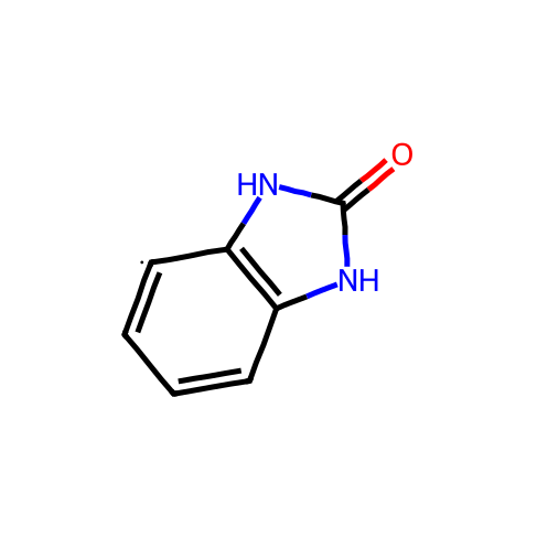 O=c1[nH]c2[c]cccc2[nH]1